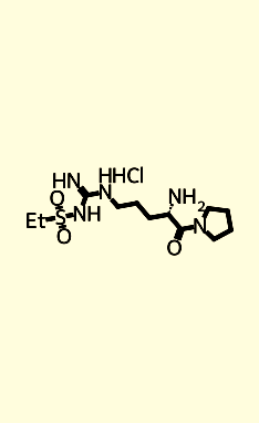 CCS(=O)(=O)NC(=N)NCCC[C@H](N)C(=O)N1CCCC1.Cl